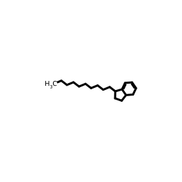 CCCCCCCCCCC1CCC2CC=CC=C21